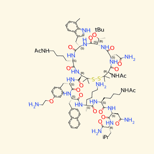 CC(=O)NCCCC[C@@H]1NC(=O)[C@H](Cc2c[nH]c3c(C)cccc23)NC(=O)[C@H]([C@@H](C)OC(C)(C)C)NC(=O)[C@H](CC(N)=O)NC(=O)[C@@H](NC(C)=O)C(C)(C)SSC(C)(C)[C@@H](C(=O)N[C@@H](Cc2ccc(OCCN)cc2)C(=O)N[C@@H](Cc2ccc3ccccc3c2)C(=O)N[C@@](C)(CCCCN)C(=O)N[C@@H](CCCCNC(C)=O)C(=O)N[C@@H](CC(N)=O)C(=O)N[C@H](CC(C)C)C(N)=O)NC1=O